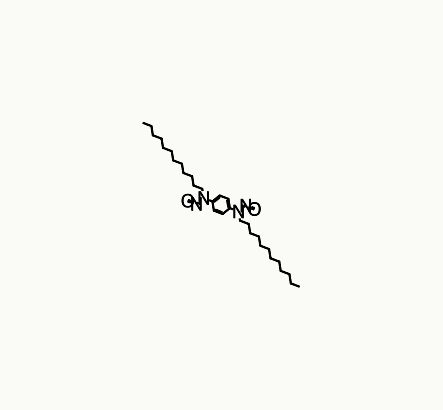 CCCCCCCCCCCCN(N=O)c1ccc(N(CCCCCCCCCCCC)N=O)cc1